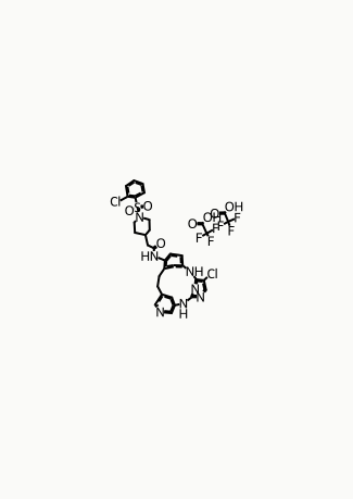 O=C(CC1CCN(S(=O)(=O)c2ccccc2Cl)CC1)Nc1ccc2cc1CCc1cncc(c1)Nc1ncc(Cl)c(n1)N2.O=C(O)C(F)(F)F.O=C(O)C(F)(F)F